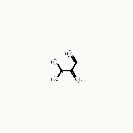 C=CC(=C)C(C)C